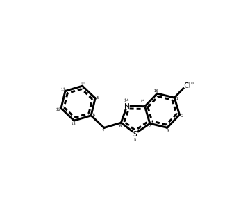 Clc1ccc2sc(Cc3ccccc3)nc2c1